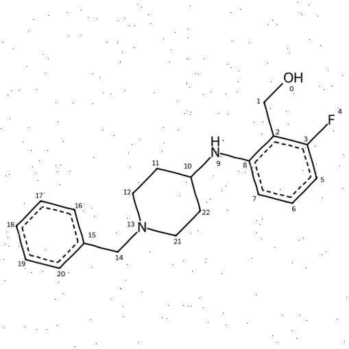 OCc1c(F)cccc1NC1CCN(Cc2ccccc2)CC1